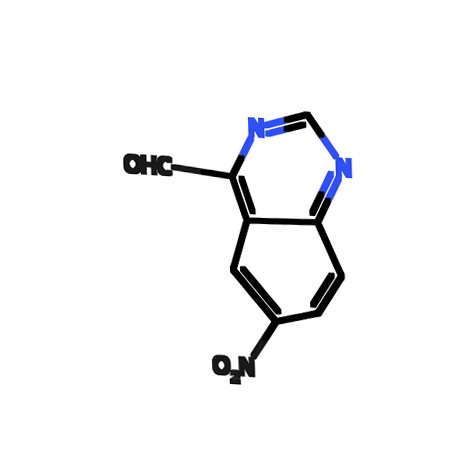 O=Cc1ncnc2ccc([N+](=O)[O-])cc12